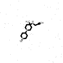 [2H]N1CCC(N2CCC(C)(NCC#C)CC2)CC1